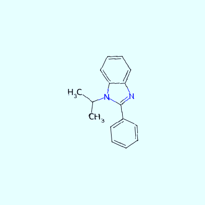 CC(C)n1c(-c2ccccc2)nc2ccccc21